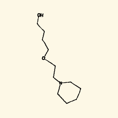 OCCCCOCCN1CCCCC1